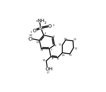 NS(=O)(=O)c1ccc(/C(=C\C2CCCCC2)CO)cc1Cl